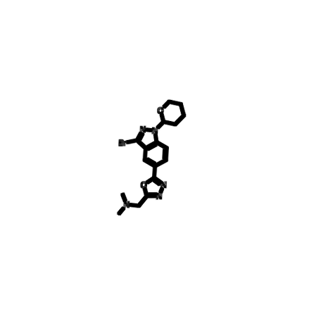 CN(C)Cc1nnc(-c2ccc3c(c2)c(Br)nn3C2CCCCO2)o1